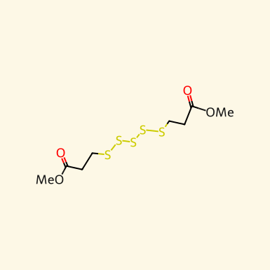 COC(=O)CCSSSSSCCC(=O)OC